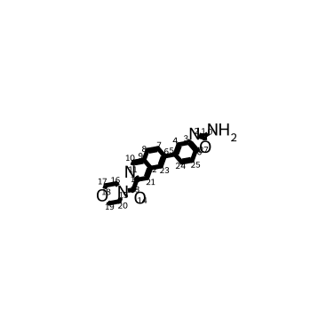 Nc1nc2cc(-c3ccc4cnc(C(=O)N5CCOCC5)cc4c3)ccc2o1